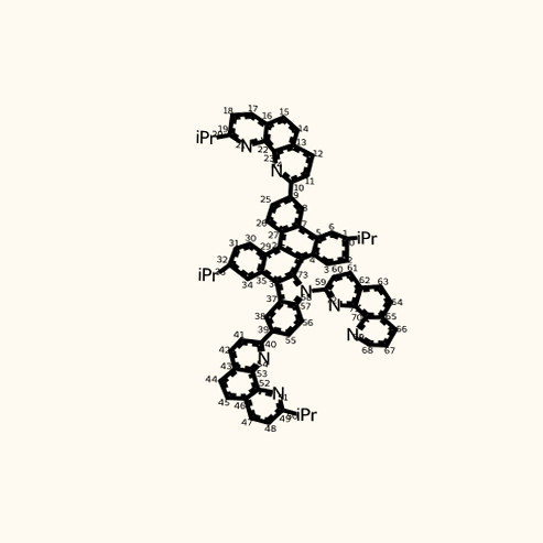 CC(C)c1ccc2c(c1)c1cc(-c3ccc4ccc5ccc(C(C)C)nc5c4n3)ccc1c1c3ccc(C(C)C)cc3c3c4cc(-c5ccc6ccc7ccc(C(C)C)nc7c6n5)ccc4n(-c4ccc5ccc6cccnc6c5n4)c3c21